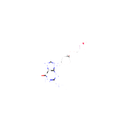 Nc1nc2c(ncn2[C@H]2C[C@@H](OCP(=O)(O)O)CO2)c(=O)[nH]1